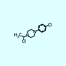 CC(Cl)N1CCN(c2ccc(Cl)cc2)CC1